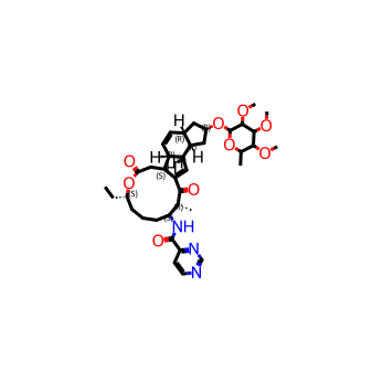 CC[C@H]1CCC[C@H](NC(=O)c2ccncn2)[C@@H](C)C(=O)C2=C[C@@H]3[C@@H](C=C[C@@H]4C[C@@H](OC5OC(C)C(OC)C(OC)C5OC)C[C@@H]34)[C@@H]2CC(=O)O1